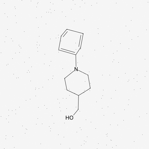 OCC1CCN(c2[c]cccc2)CC1